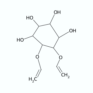 C=COC1C(O)C(O)C(O)C(O)C1OC=C